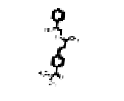 CC(CCc1ccc(C(=O)N(C)C)cc1)NCC(O)c1ccccc1